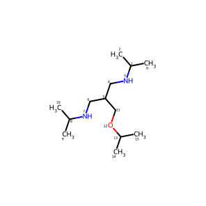 CC(C)NCC(CNC(C)C)COC(C)C